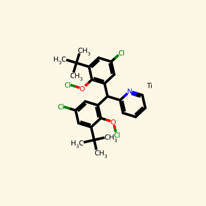 CC(C)(C)c1cc(Cl)cc(C(c2ccccn2)c2cc(Cl)cc(C(C)(C)C)c2OCl)c1OCl.[Ti]